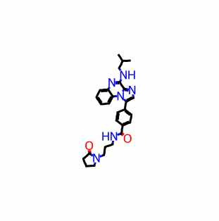 CC(C)CNc1nc2ccccc2n2c(-c3ccc(C(=O)NCCCN4CCCC4=O)cc3)cnc12